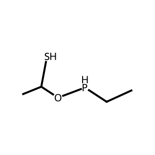 CCPOC(C)S